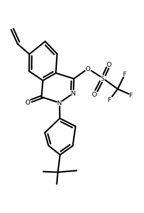 C=Cc1ccc2c(OS(=O)(=O)C(F)(F)F)nn(-c3ccc(C(C)(C)C)cc3)c(=O)c2c1